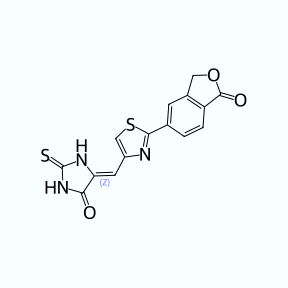 O=C1NC(=S)N/C1=C\c1csc(-c2ccc3c(c2)COC3=O)n1